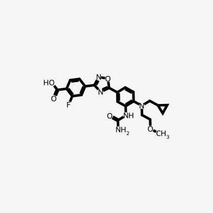 COCCN(CC1CC1)c1ccc(-c2nc(-c3ccc(C(=O)O)c(F)c3)no2)cc1NC(N)=O